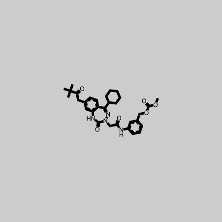 COC(=O)OCc1cccc(NC(=O)CN2N=C(C3CCCCC3)c3ccc(CC(=O)C(C)(C)C)cc3NC2=O)c1